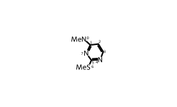 CNc1ccnc(SC)n1